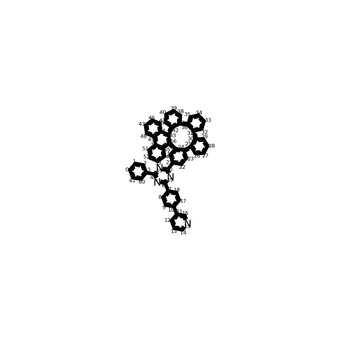 c1ccc(-c2nc(-c3ccc(-c4cccnc4)cc3)nc(-c3ccc4c5ccccc5c5ccccc5c5ccccc5c5c6ccccc6c6ccccc6c5c4c3)n2)cc1